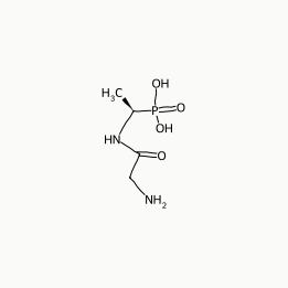 C[C@H](NC(=O)CN)P(=O)(O)O